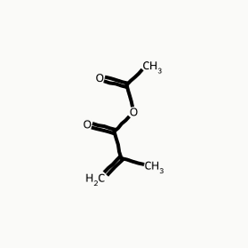 C=C(C)C(=O)OC(C)=O